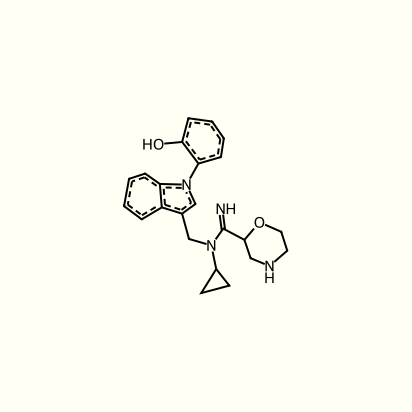 N=C(C1CNCCO1)N(Cc1cn(-c2ccccc2O)c2ccccc12)C1CC1